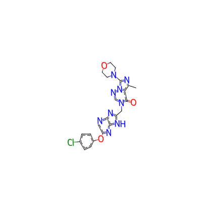 Cc1nc(N2CCOCC2)n2ncn(Cc3nc4ncc(Oc5ccc(Cl)cc5)nc4[nH]3)c(=O)c12